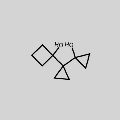 OC1(C2(C3(O)CC3)CC2)CCC1